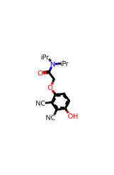 CC(C)N(C(=O)COc1ccc(O)c(C#N)c1C#N)C(C)C